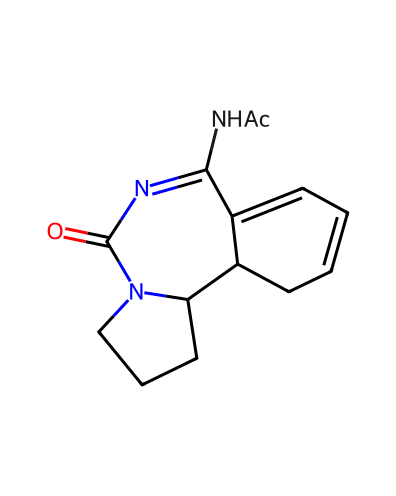 CC(=O)NC1=NC(=O)N2CCCC2C2CC=CC=C12